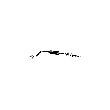 CCCCC#[C][Mg][Br]